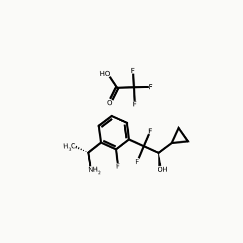 C[C@@H](N)c1cccc(C(F)(F)[C@H](O)C2CC2)c1F.O=C(O)C(F)(F)F